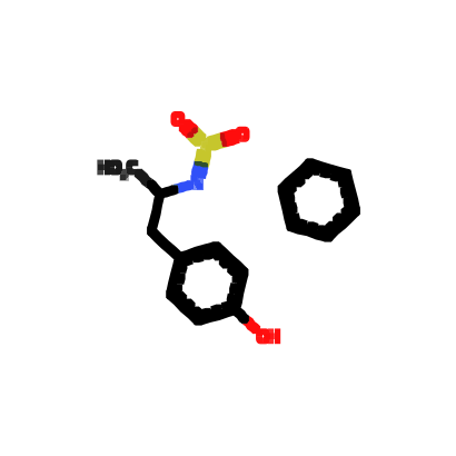 O=C(O)C(Cc1ccc(O)cc1)N=S(=O)=O.c1ccccc1